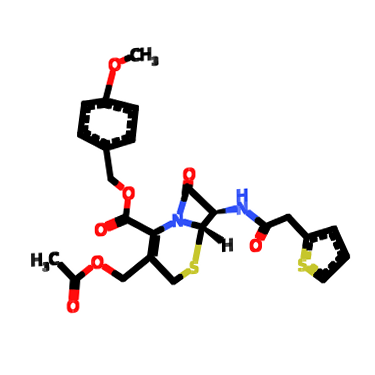 COc1ccc(COC(=O)C2=C(COC(C)=O)CS[C@H]3[C@H](NC(=O)Cc4cccs4)C(=O)N23)cc1